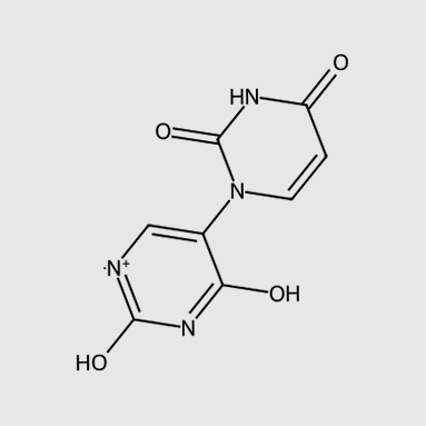 O=c1ccn(C2=C[N+]=C(O)N=C2O)c(=O)[nH]1